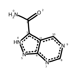 NC(=O)c1[nH]nc2ncncc12